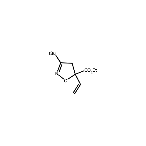 C=CC1(C(=O)OCC)CC(C(C)(C)C)=NO1